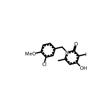 COc1ccc(Cn2c(C)cc(O)c(I)c2=O)cc1Cl